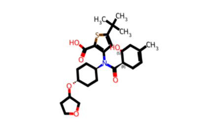 CC1=CC[C@@H](C(=O)N(c2cc(C(C)(C)C)sc2C(=O)O)[C@H]2CC[C@H](OC3CCOC3)CC2)[C@@H](O)C1